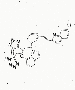 Clc1ccc2ccc(C=Cc3cccc(C(CCCc4nnn[nH]4)n4ccc5cccc(OCc6nnn[nH]6)c54)c3)nc2c1